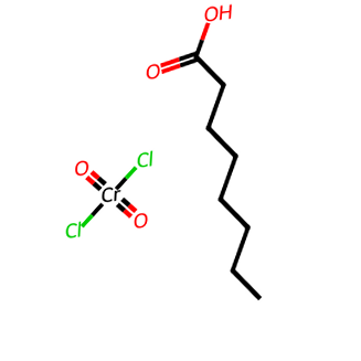 CCCCCCCC(=O)O.[O]=[Cr](=[O])([Cl])[Cl]